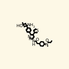 CCC(=O)N(C)C1CCC(CC(=O)Nc2cc(-c3ccsc3)c(-c3ccc(C4(N)CC(C)(O)C4)cc3)nn2)CC1